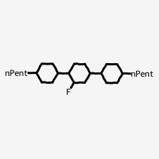 CCCCCC1CCC(C2CCC(C3CCC(CCCCC)CC3)C(F)C2)CC1